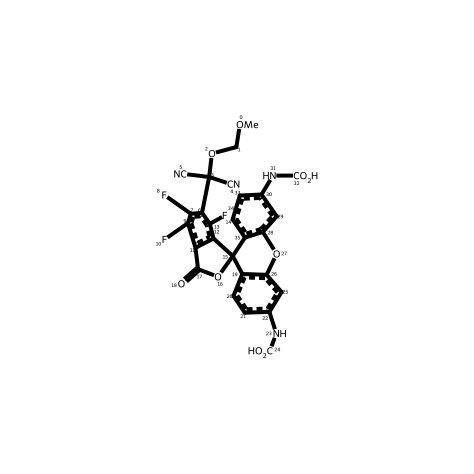 COCOC(C#N)(C#N)c1c(F)c(F)c2c(c1F)C1(OC2=O)c2ccc(NC(=O)O)cc2Oc2cc(NC(=O)O)ccc21